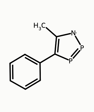 CC1=C(c2ccccc2)P=P[N]1